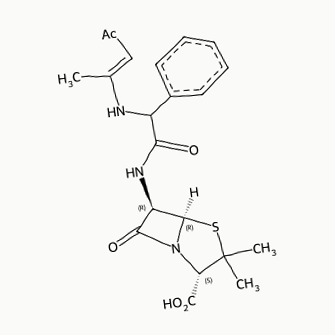 CC(=O)C=C(C)NC(C(=O)N[C@@H]1C(=O)N2[C@@H]1SC(C)(C)[C@@H]2C(=O)O)c1ccccc1